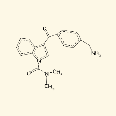 CN(C)C(=O)n1cc(C(=O)c2ccc(CN)cc2)c2ccccc21